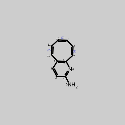 Nc1ccc2c(n1)\C=C/C=C\C=C/2